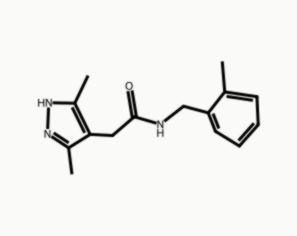 Cc1ccccc1CNC(=O)Cc1c(C)n[nH]c1C